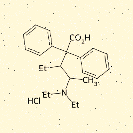 CCC(C(C)N(CC)CC)C(C(=O)O)(c1ccccc1)c1ccccc1.Cl